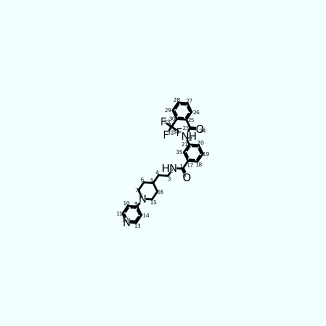 O=C(NCCC1CCN(c2ccncc2)CC1)c1cccc(NC(=O)c2ccccc2C(F)(F)F)c1